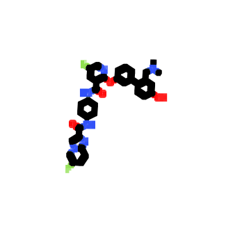 CN(C)Cc1cc(O)ccc1-c1cccc(Oc2ncc(F)cc2C(=O)N[C@H]2CC[C@H](NC(=O)c3cn4cc(F)ccc4n3)CC2)c1